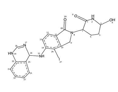 O=C1NC(O)CCC1N1Cc2c(ccc(NC3N=CNc4ccccc43)c2I)C1=O